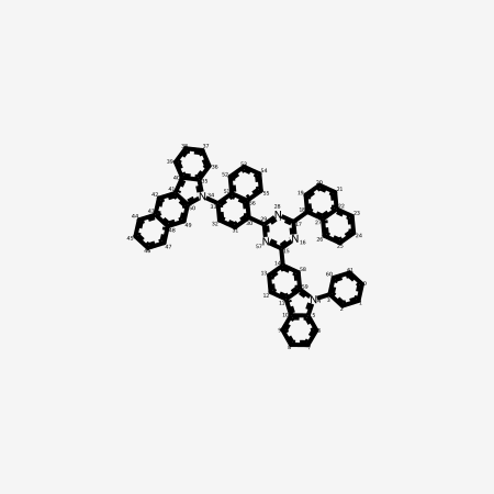 c1ccc(-n2c3ccccc3c3ccc(-c4nc(-c5cccc6ccccc56)nc(-c5ccc(-n6c7ccccc7c7cc8ccccc8cc76)c6ccccc56)n4)cc32)cc1